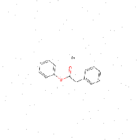 O=C(Cc1ccccc1)Oc1ccccc1.[Zn]